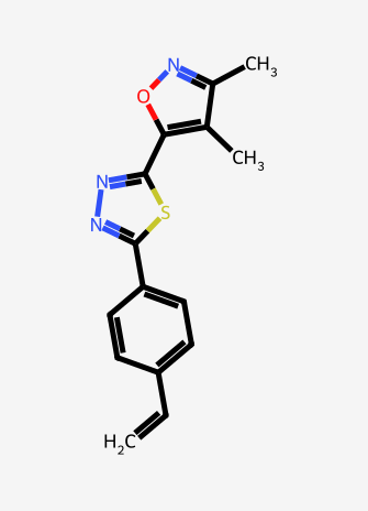 C=Cc1ccc(-c2nnc(-c3onc(C)c3C)s2)cc1